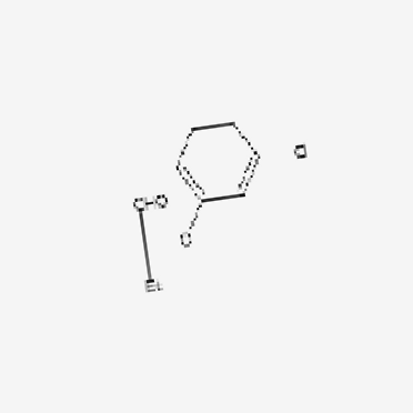 CCC(C)(C=O)Oc1cccc(Cl)c1